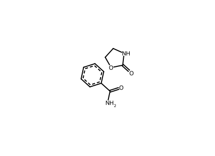 NC(=O)c1ccccc1.O=C1NCCO1